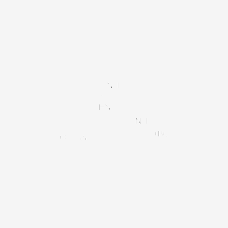 Cc1cc2c(cc1CC(=N)NCCNCC(C)(C)C)OCO2